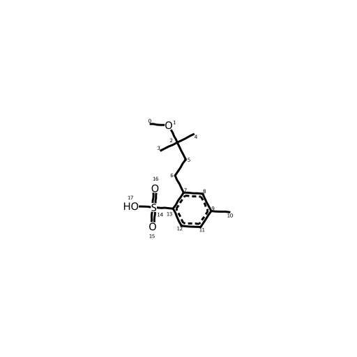 COC(C)(C)CCc1cc(C)ccc1S(=O)(=O)O